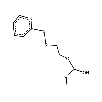 COC(O)OCCSSc1ccccn1